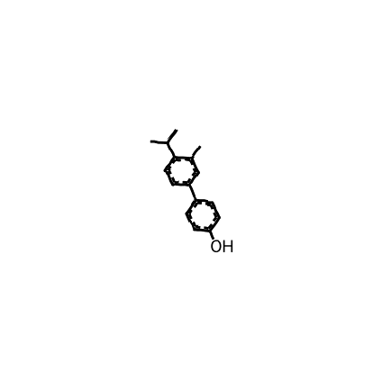 Cc1cc(-c2ccc(O)cc2)ccc1C(C)C